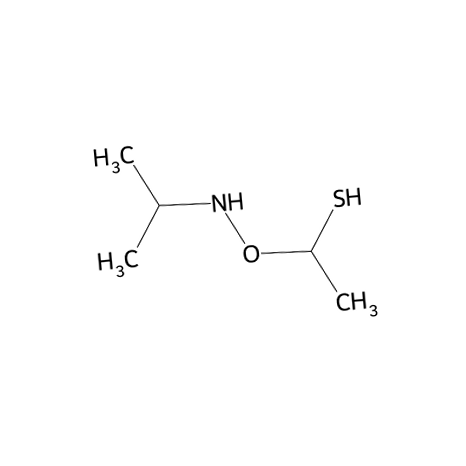 CC(C)NOC(C)S